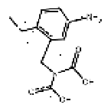 CCc1ccc(N)cc1CN(C(=O)O)C(=O)O